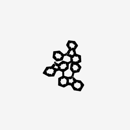 c1ccc(-n2c3ccccc3c3cccc(-c4cc(-c5cccc6c7ccccc7n(-c7ccccc7)c56)c5c(c4)sc4ccccc45)c32)cc1